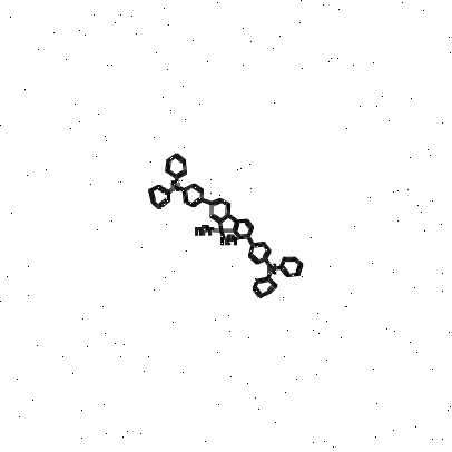 CCCC1(CCC)c2cc(-c3ccc(N(c4ccccc4)c4ccccc4)cc3)ccc2-c2ccc(-c3ccc(N(c4ccccc4)c4ccccc4)cc3)cc21